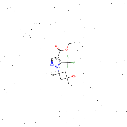 [2H]C1(n2ncc(C(=O)OCC)c2C(F)(F)F)CC(C)(O)C1